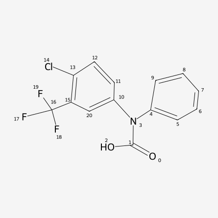 O=C(O)N(c1ccccc1)c1ccc(Cl)c(C(F)(F)F)c1